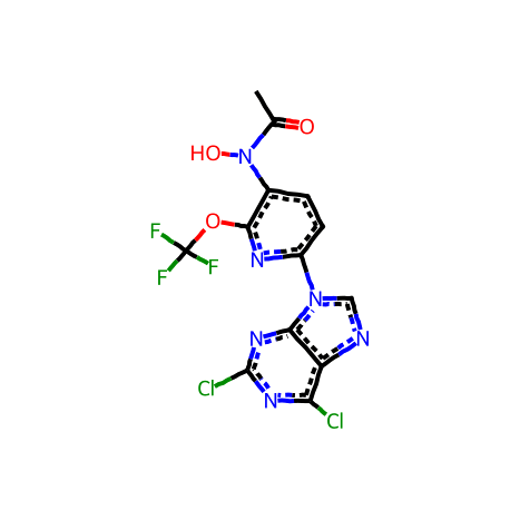 CC(=O)N(O)c1ccc(-n2cnc3c(Cl)nc(Cl)nc32)nc1OC(F)(F)F